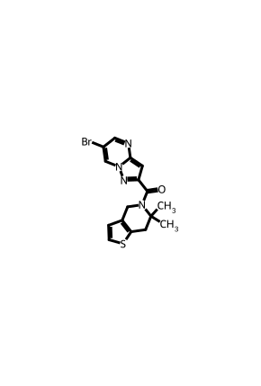 CC1(C)Cc2sccc2CN1C(=O)c1cc2ncc(Br)cn2n1